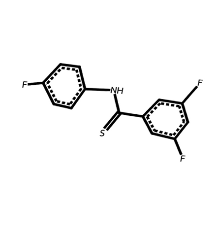 Fc1ccc(NC(=S)c2cc(F)cc(F)c2)cc1